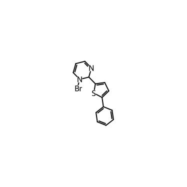 BrN1C=CC=NC1c1ccc(-c2ccccc2)s1